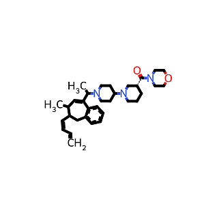 C=C/C=C\C1Cc2ccccc2C(C(C)N2CCC(N3CCC[C@@H](C(=O)N4CCOCC4)C3)CC2)=CC1C